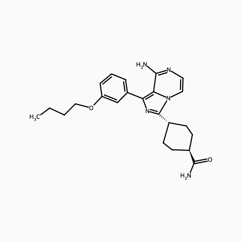 CCCCOc1cccc(-c2nc([C@H]3CC[C@H](C(N)=O)CC3)n3ccnc(N)c23)c1